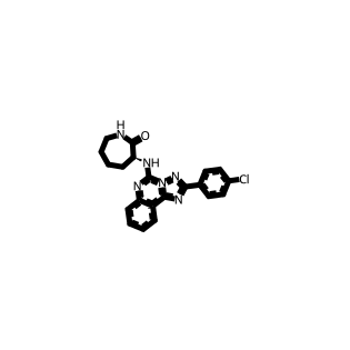 O=C1NCCCC[C@H]1Nc1nc2ccccc2c2nc(-c3ccc(Cl)cc3)nn12